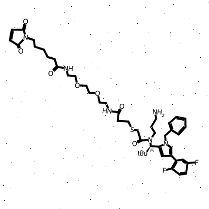 CC(C)(C)[C@H](c1cc(-c2cc(F)ccc2F)cn1Cc1ccccc1)N(CCCN)C(=O)CSCCC(=O)NCCOCCOCCNC(=O)CCCCCN1C(=O)C=CC1=O